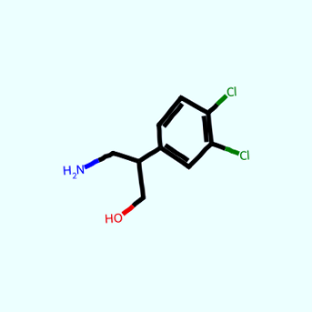 NCC(CO)c1ccc(Cl)c(Cl)c1